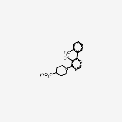 CCOC(=O)C1CCN(c2ncnc(-c3ccccc3C(F)(F)F)c2N=O)CC1